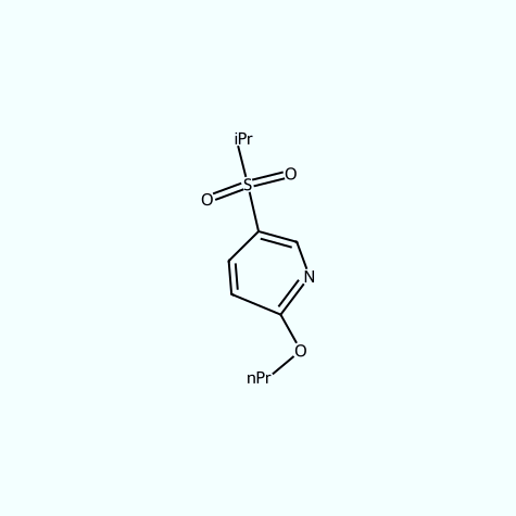 CCCOc1ccc(S(=O)(=O)C(C)C)cn1